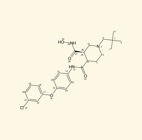 CC(C)(C)CN1CCC(C(=O)Nc2ccc(Oc3cccc(Cl)c3)cc2)[C@@H](C(=O)NO)C1